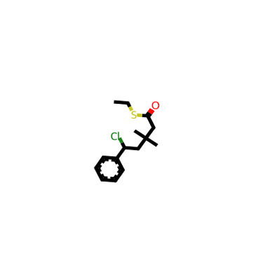 CCSC(=O)CC(C)(C)CC(Cl)c1ccccc1